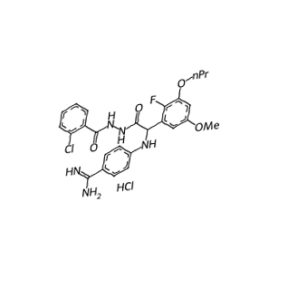 CCCOc1cc(OC)cc(C(Nc2ccc(C(=N)N)cc2)C(=O)NNC(=O)c2ccccc2Cl)c1F.Cl